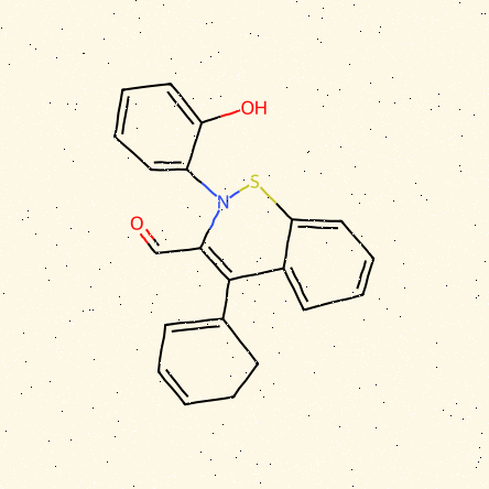 O=CC1=C(C2=CC=CCC2)c2ccccc2SN1c1ccccc1O